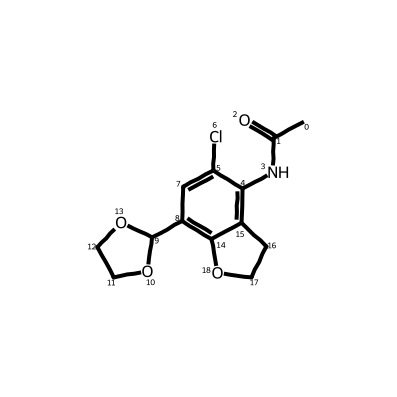 CC(=O)Nc1c(Cl)cc(C2OCCO2)c2c1CCO2